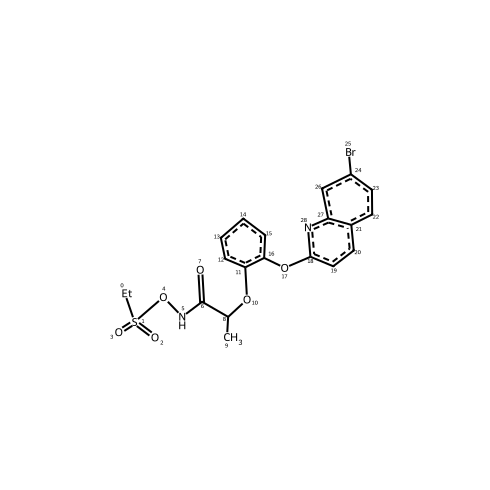 CCS(=O)(=O)ONC(=O)C(C)Oc1ccccc1Oc1ccc2ccc(Br)cc2n1